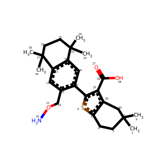 CC1(C)CCc2sc(-c3cc4c(cc3CON)C(C)(C)CCC4(C)C)c(C(=O)O)c2C1